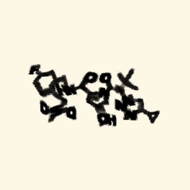 CC(C)(C)[C@@H](C(=O)N1C[C@H](O)C[C@H]1C(=O)NCc1cc(F)ccc1CS(C)(=O)=O)n1cc(C2CC2)nn1